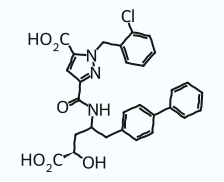 O=C(NC(Cc1ccc(-c2ccccc2)cc1)C[C@@H](O)C(=O)O)c1cc(C(=O)O)n(Cc2ccccc2Cl)n1